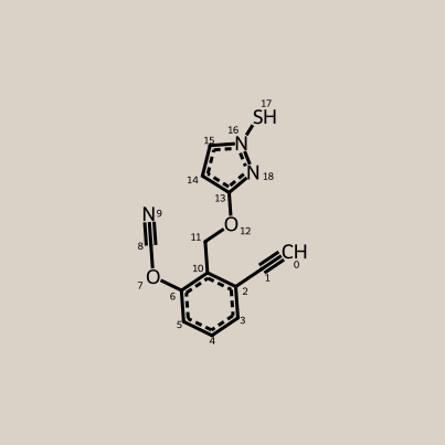 C#Cc1cccc(OC#N)c1COc1ccn(S)n1